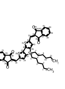 CCCCCC[Si]1(CCCCCC)c2cc(C=C3C(=O)c4ccccc4C3=O)sc2-c2sc(C=C3C(=O)c4ccccc4C3=O)cc21